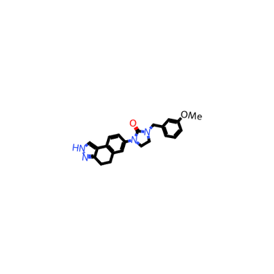 COc1cccc(CN2CCN(c3ccc4c(c3)CCc3n[nH]cc3-4)C2=O)c1